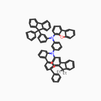 CCC1(CC)c2ccccc2-c2cc(N(c3cccc(N(c4cccc(C5(c6ccccc6)c6ccccc6-c6ccccc65)c4)c4cccc5c4oc4ccccc45)c3)c3ccccc3-c3ccc(-c4ccccc4)cc3)ccc21